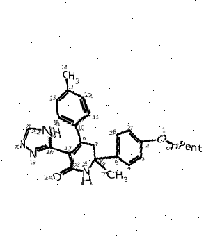 CCCCCOc1ccc(C2(C)CC(c3ccc(C)cc3)=C(c3nnc[nH]3)C(=O)N2)cc1